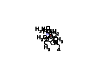 CC(C1CCC2(C)C3Cc4ccc(O)cc4C12CCN3CC1CC1)N(C)C(=O)/C(N)=C/C(N)=O